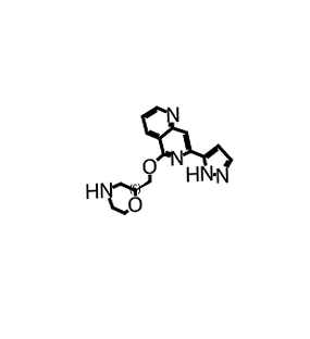 c1cnc2cc(-c3ccn[nH]3)nc(OC[C@@H]3CNCCO3)c2c1